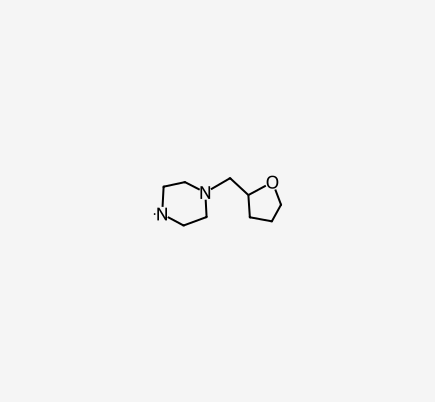 C1COC(CN2CC[N]CC2)C1